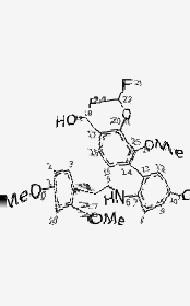 COc1ccc(CNc2ccc(Cl)cc2-c2ccc(CO)c(OC(F)F)c2OC)c(OC)c1